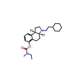 CCN(C)C(=O)Oc1cccc2c1CC[C@@H]1[C@H]2CCN1CCC1CCCCC1